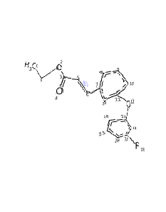 CCOC(=O)/C=C/c1cccc(Oc2cccc(F)c2)c1